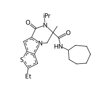 CCc1cc2c(cc3n2CC(C)(C(=O)NC2CCCCCC2)N(C(C)C)C3=O)s1